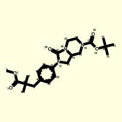 COC(=O)C(C)(C)Cc1ccc(N2CC3CN(C(=O)OC(C)(C)C)CCN3C2=O)cc1